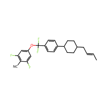 CC=CCC1CCC(c2ccc(C(F)(F)Oc3cc(F)c(C#N)c(F)c3)cc2)CC1